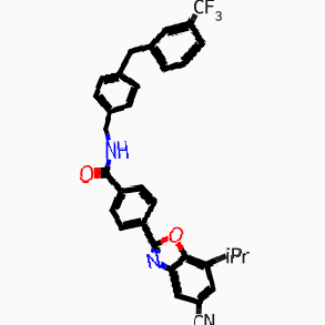 CC(C)c1cc(C#N)cc2nc(-c3ccc(C(=O)NCc4ccc(Cc5cccc(C(F)(F)F)c5)cc4)cc3)oc12